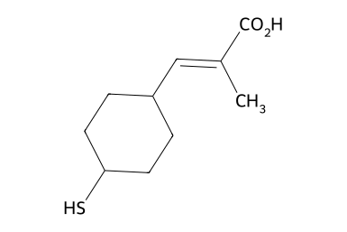 CC(=CC1CCC(S)CC1)C(=O)O